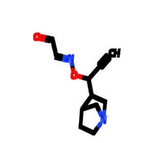 C#CC(ON=CC=O)C1CN2CCC1C2